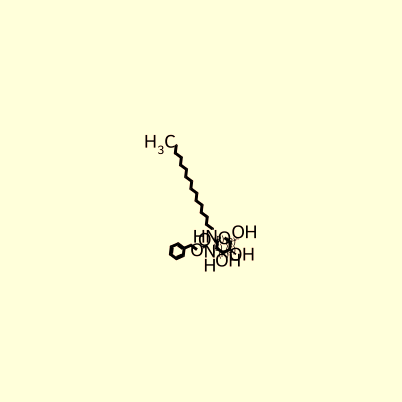 CCCCCCCCCCCCCCCCN[C@@H]1O[C@H](CO)[C@@H](O)[C@H](O)[C@@H]1NC(=O)OCc1ccccc1